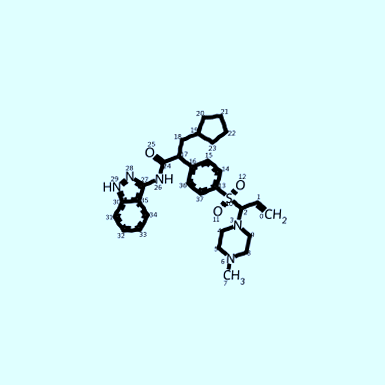 C=CC(N1CCN(C)CC1)S(=O)(=O)c1ccc(C(CC2CCCC2)C(=O)Nc2n[nH]c3ccccc23)cc1